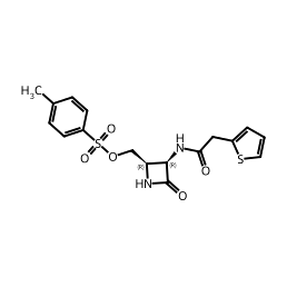 Cc1ccc(S(=O)(=O)OC[C@@H]2NC(=O)[C@@H]2NC(=O)Cc2cccs2)cc1